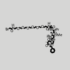 CC[C@H](C)C(C(CC(=O)N1CCC[C@H]1[C@H](OC)[C@@H](C)C(=O)NCCC1C=CC=CC=C1)OC)N(C)C(=O)[C@@H](NC(=O)C(C)(C)NC(=O)CCOCCOCCOCCOCCOCCOCCNC(=O)CBr)C(C)C